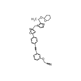 C[C@H](OC1CCCCO1)c1nccn1Cc1cc(-c2ccc(C#Cc3cccc(OCC#N)c3)cc2)on1